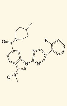 CC1CCN(C(=O)c2ccc3c([S+](C)[O-])cn(-c4ncc(-c5ccccc5F)cn4)c3c2)CC1